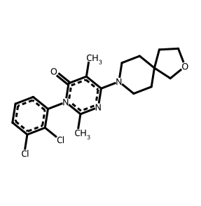 Cc1c(N2CCC3(CCOC3)CC2)nc(C)n(-c2cccc(Cl)c2Cl)c1=O